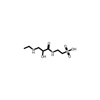 CCNCC(O)C(=O)NCCS(=O)(=O)O